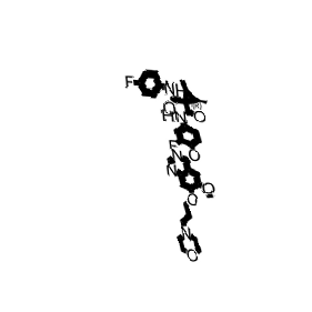 COc1cc2c(Oc3ccc(NC(=O)C4(C(=O)Nc5ccc(F)cc5)C(C)[C@H]4C)cc3F)ncnc2cc1OCCCN1CCOCC1